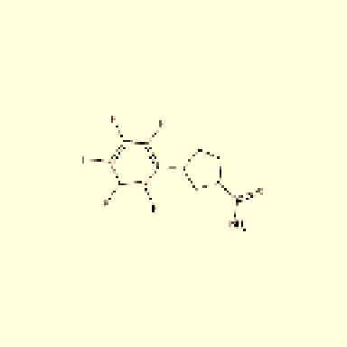 NC(=S)N1CC[C@@H](c2c(F)c(F)c(F)c(F)c2F)C1